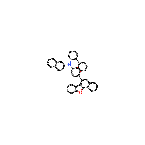 c1ccc(-c2ccccc2N(c2ccc(-c3cc4ccccc4c4oc5ccccc5c34)cc2)c2ccc3ccccc3c2)cc1